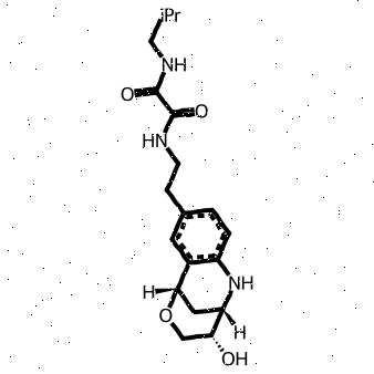 CC(C)CNC(=O)C(=O)NCCc1ccc2c(c1)[C@@H]1C[C@H](N2)[C@H](O)CO1